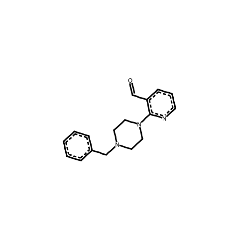 O=Cc1cccnc1N1CCN(Cc2ccccc2)CC1